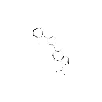 CC(C)n1ccc2nc(-c3nc(-c4ccccc4Br)cs3)ccc21